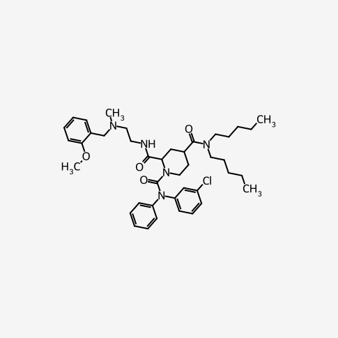 CCCCCN(CCCCC)C(=O)C1CCN(C(=O)N(c2ccccc2)c2cccc(Cl)c2)C(C(=O)NCCN(C)Cc2ccccc2OC)C1